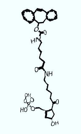 O=C(CCCCCNC(=O)OC1Cc2ccccc2C#Cc2ccccc21)NCCCCCC(=O)C1C[C@H](O)C[C@H]1COP(=O)(O)OO